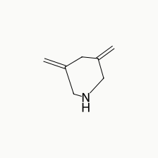 C=C1CNCC(=C)C1